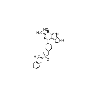 CN1N=C(C2CCC(CS(=O)(=O)N(C)Cc3ccccc3)CC2)c2c(cnc3[nH]ccc23)B1O